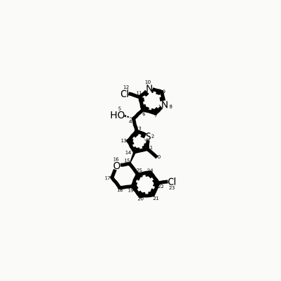 Cc1sc([C@H](O)c2cncnc2Cl)cc1[C@@H]1OCCc2ccc(Cl)cc21